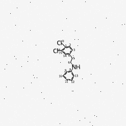 Clc1ccc(CCNc2[c]cccc2)cc1Cl